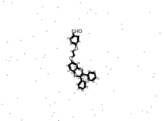 O=Cc1ccc(OCCOc2ccc3nc(-c4ccccc4)c(-c4ccccc4)nc3c2)cc1